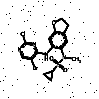 CN(c1cc2c(cc1Nc1nc(Cl)ncc1Br)OCC2)S(=O)(=O)C1CC1